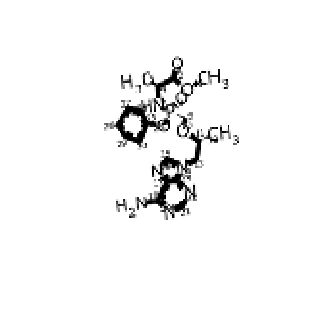 COC(=O)[C@H](C)N[P@](=O)(CO[C@H](C)Cn1cnc2c(N)ncnc21)Oc1ccccc1